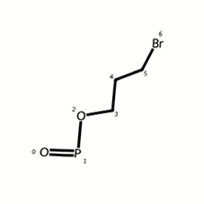 O=POCCCBr